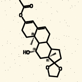 CC(=O)OC1=CC2=CCC3C([C@@H](O)C[C@@]4(C)C3CCC43OCCO3)[C@@]2(C)CC1